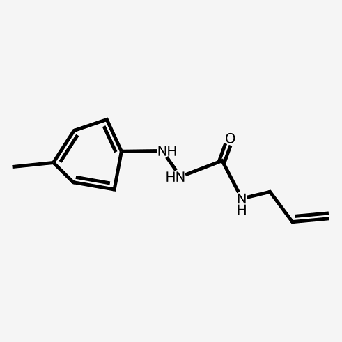 C=CCNC(=O)NNc1ccc(C)cc1